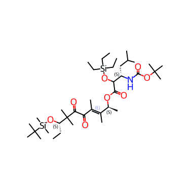 CC[C@H](O[Si](C)(C)C(C)(C)C)C(C)(C)C(=O)C(=O)/C(C)=C(\C)[C@H](C)OC(=O)C(O[Si](CC)(CC)CC)[C@H](CC(C)C)NC(=O)OC(C)(C)C